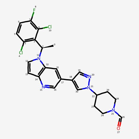 C[C@H](c1c(Cl)ccc(F)c1Cl)n1ccc2ncc(-c3cnn(C4CCN(C=O)CC4)c3)cc21